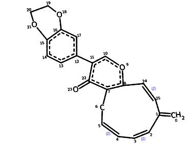 C=C1/C=C\C=C/Cc2c(occ(-c3ccc4c(c3)OCCO4)c2=O)/C=C\1